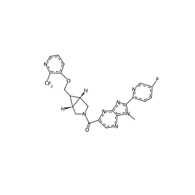 Cn1c(-c2ccc(F)cn2)nc2nc(C(=O)N3C[C@@H]4C(COc5cccnc5C(F)(F)F)[C@@H]4C3)cnc21